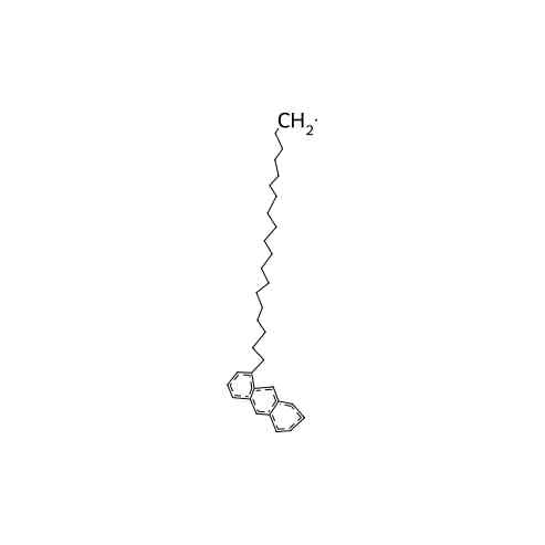 [CH2]CCCCCCCCCCCCCCCCCCc1cccc2cc3ccccc3cc12